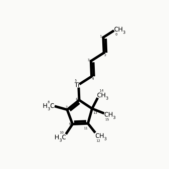 CC=CC=[CH][Ti][C]1=C(C)C(C)=C(C)C1(C)C